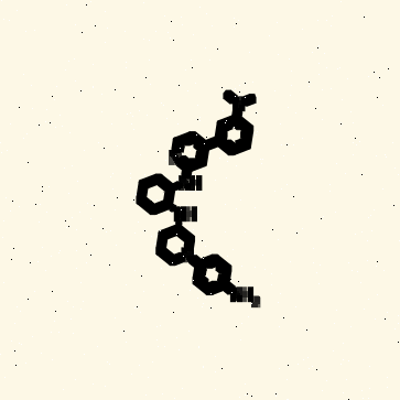 CN(C)c1cccc(-c2ccnc(N[C@@H]3CCCC[C@H]3N[C@H]3CCCN(c4ccc(N)cc4)C3)c2)c1